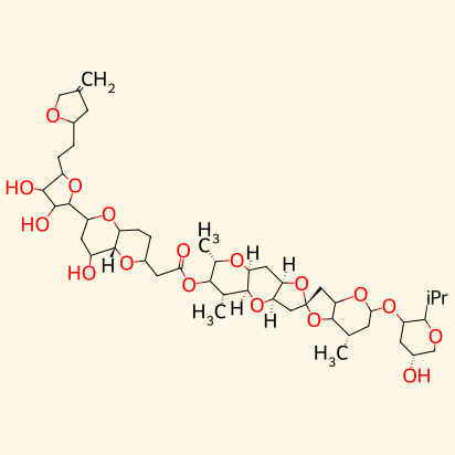 C=C1COC(CCC2OC(C3CC(O)[C@H]4OC(CC(=O)OC5[C@H](C)O[C@H]6C[C@H]7O[C@@]8(CC9OC(OC%10C[C@@H](O)COC%10C(C)C)C[C@H](C)C9O8)C[C@H]7O[C@H]6[C@@H]5C)CCC4O3)C(O)C2O)C1